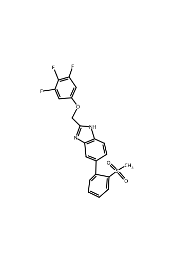 CS(=O)(=O)c1ccccc1-c1ccc2[nH]c(COc3cc(F)c(F)c(F)c3)nc2c1